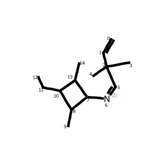 C=CC(C)(C)/C=N\C1C(C)C(CC)C1C